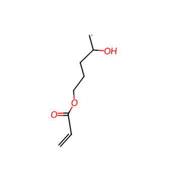 [CH2]C(O)CCCOC(=O)C=C